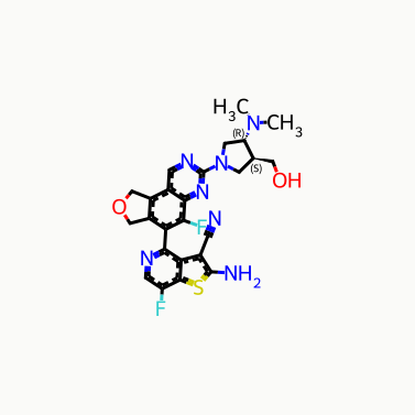 CN(C)[C@H]1CN(c2ncc3c4c(c(-c5ncc(F)c6sc(N)c(C#N)c56)c(F)c3n2)COC4)C[C@@H]1CO